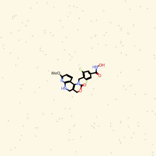 COc1ccc2c(n1)NCC1=C2N(Cc2c(F)cc(C(=O)NO)cc2F)C(=O)OC1